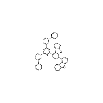 c1ccc(-c2cccc(-c3nc(-c4cccc(-c5ccccc5)c4)nc(-c4ccc(-c5cccc6oc7ccccc7c56)c5oc6ccccc6c45)n3)c2)cc1